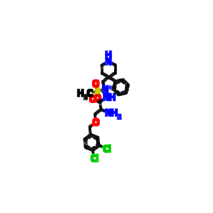 CS(=O)(=O)[N+]1(NC(=O)C(N)COCc2ccc(Cl)c(Cl)c2)CC2(CCNCC2)c2ccccc21